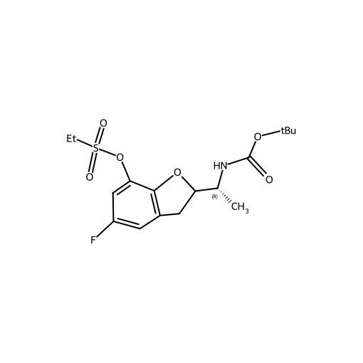 CCS(=O)(=O)Oc1cc(F)cc2c1OC([C@@H](C)NC(=O)OC(C)(C)C)C2